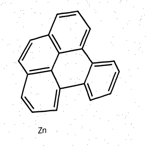 [Zn].c1ccc2c(c1)c1cccc3ccc4cccc2c4c31